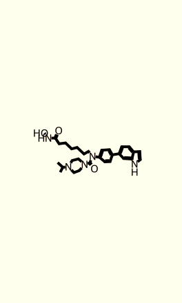 CC(C)N1CCN(C(=O)N(CCCCCCC(=O)NO)c2ccc(-c3ccc4cc[nH]c4c3)cc2)CC1